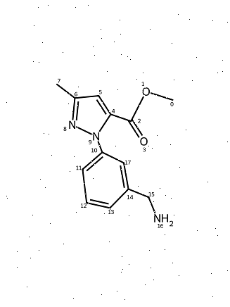 COC(=O)c1cc(C)nn1-c1cccc(CN)c1